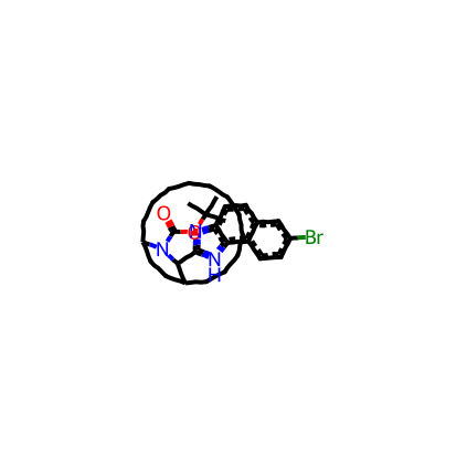 CC(C)(C)OC(=O)N1C2CCCCCCCCCCCC(CC2)C1c1nc2ccc3cc(Br)ccc3c2[nH]1